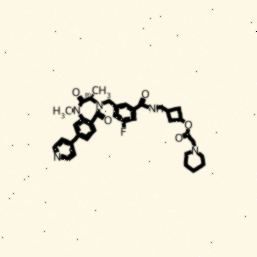 C[C@@H]1C(=O)N(C)c2cc(-c3ccncc3)ccc2C(=O)N1Cc1cc(F)cc(C(=O)NCC2CC(OC(=O)CN3CCCCC3)C2)c1